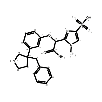 Cn1cc(S(=O)(=O)O)nc1C(Oc1cccc(C2(Cc3ccccc3)CCNC2)c1)C(N)=O